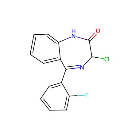 O=C1Nc2ccccc2C(c2ccccc2F)=NC1Cl